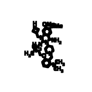 COc1cc2c(cc1OC)N(CC1CNC1)C(N)N(C1CCN(Cc3c(OCCN(C)C)cccc3N(C)C)CC1)C2N